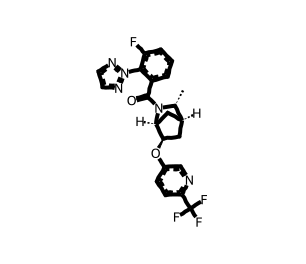 C[C@@H]1[C@H]2C[C@@H](Oc3ccc(C(F)(F)F)nc3)[C@H](C2)N1C(=O)c1cccc(F)c1-n1nccn1